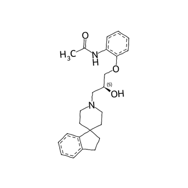 CC(=O)Nc1ccccc1OC[C@@H](O)CN1CCC2(CCc3ccccc32)CC1